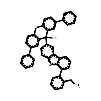 CCc1ccccc1-c1cccc2c1sc1ccc(C3(C)c4cc(-c5ccccc5)ccc4Oc4ccc(-c5ccccc5)cc43)cc12